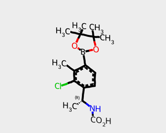 Cc1c(B2OC(C)(C)C(C)(C)O2)ccc([C@@H](C)NC(=O)O)c1Cl